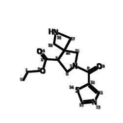 CCOC(=O)C1CN(C(=O)c2cncs2)CC12CNC2